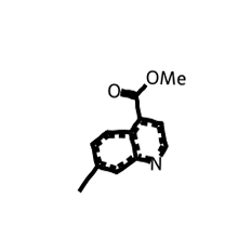 COC(=O)c1ccnc2cc(C)ccc12